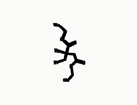 CCC(CC(=O)OCC(C)(C)C)(CC(C)C)C(=O)OCC(C)(C)C